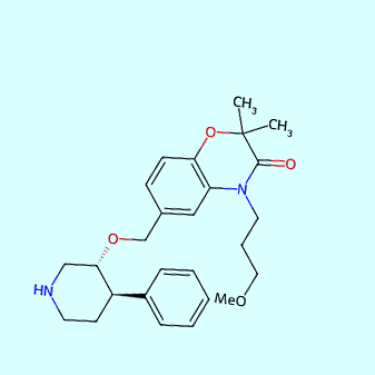 COCCCN1C(=O)C(C)(C)Oc2ccc(CO[C@H]3CNCC[C@@H]3c3ccccc3)cc21